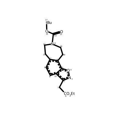 CCOC(=O)Cc1noc2c3c(ccc12)CCN(C(=O)OC(C)(C)C)CC3